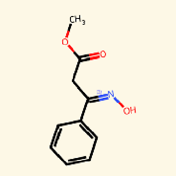 COC(=O)C/C(=N/O)c1ccccc1